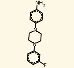 Nc1ccc(N2CCN(c3cccc(F)c3)CC2)cc1